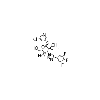 COC1C(n2cc(-c3cc(F)c(F)c(F)c3)nn2)[C@@H](O)C(CO)O[C@@H]1Sc1cncc(Cl)c1